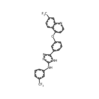 FC(F)(F)c1cccc(Nc2nnc(-c3cccc(Oc4ccnc5cc(C(F)(F)F)ccc45)c3)[nH]2)c1